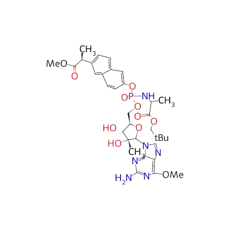 COC(=O)[C@@H](C)c1ccc2cc(OP(=O)(NC(C)C(=O)OCC(C)(C)C)OC[C@H]3OC(n4cnc5c(OC)nc(N)nc54)[C@](C)(O)[C@@H]3O)ccc2c1